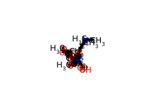 CCCC[N+](C)(C)CCCCCCOc1ccc2c(c1)c(C(=O)Oc1c(C)cc(C(=O)OC)cc1C)c1cc(OC)ccc1[n+]2CCCS(=O)(=O)O